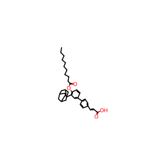 CCCCCCCCCCC(=O)Oc1ccc(-c2ccc(/C=C/C(=O)O)cc2)cc1C12CC3CC(CC(C3)C1)C2